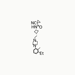 CCc1cccc(N2CCN(CC[C@H]3C[C@@H](NC(=O)C4(C#N)CC4)C3)CC2)c1C